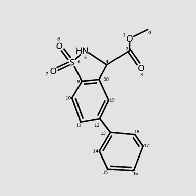 COC(=O)C1NS(=O)(=O)c2ccc(-c3ccccc3)cc21